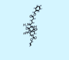 C=CCOC(=O)N1CCC2(CC1)C(=O)N[C@@H](C(N)CCCC(=O)OCc1ccccc1)C(=O)N2CCC